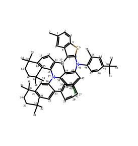 Cc1ccc2sc3c(c2c1)B1c2ccc4c(c2N(c2cc5c(cc2-c2ccccc2)C(C)(C)CCC5(C)C)c2cc(F)cc(c21)N3c1ccc(C(C)(C)C)cc1C)C(C)(C)CCC4(C)C